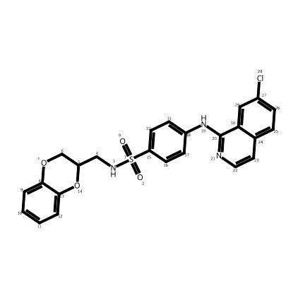 O=S(=O)(NCC1COc2ccccc2O1)c1ccc(Nc2nccc3ccc(Cl)cc23)cc1